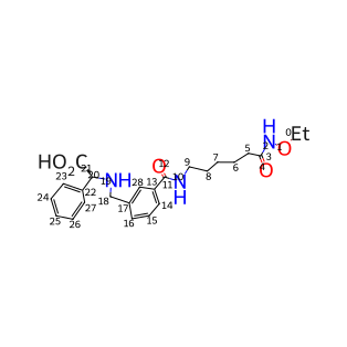 CCONC(=O)CCCCCNC(=O)c1cccc(CN[C@H](C(=O)O)c2ccccc2)c1